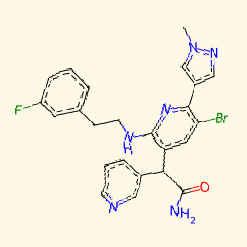 Cn1cc(-c2nc(NCCc3cccc(F)c3)c(C(C(N)=O)c3cccnc3)cc2Br)cn1